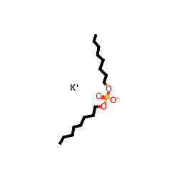 CCCCCCCCOP(=O)([O-])OCCCCCCCC.[K+]